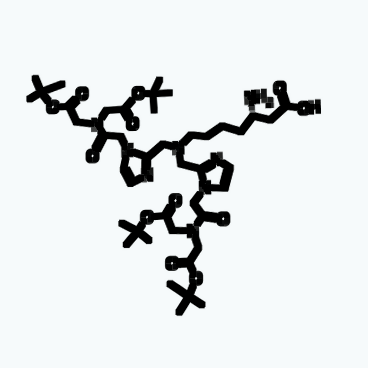 CC(C)(C)OC(=O)CN(CC(=O)OC(C)(C)C)C(=O)Cn1ccnc1CN(CCCC[C@H](N)CC(=O)O)Cc1nccn1CC(=O)N(CC(=O)OC(C)(C)C)CC(=O)OC(C)(C)C